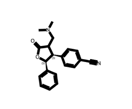 CN(C)CC1C(=O)O[C@H](c2ccccc2)[C@@H]1c1ccc(C#N)cc1